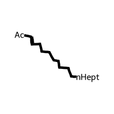 CCCCCCCCCCCCCCCC=CC(C)=O